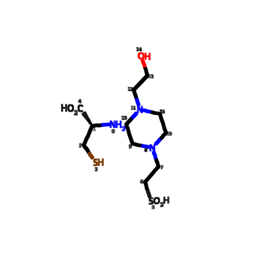 N[C@@H](CS)C(=O)O.O=S(=O)(O)CCN1CCN(CCO)CC1